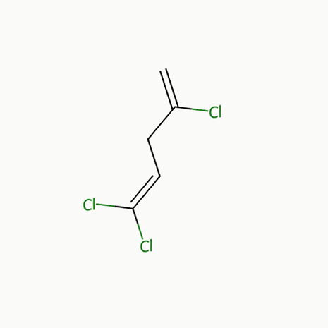 C=C(Cl)CC=C(Cl)Cl